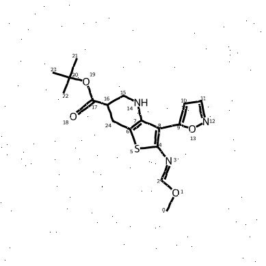 CO/C=N/c1sc2c(c1-c1ccno1)NCC(C(=O)OC(C)(C)C)C2